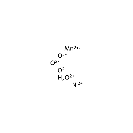 [Mn+2].[Ni+2].[O-2].[O-2].[O-2].[OH4+2]